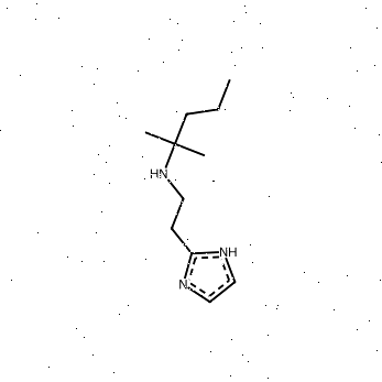 CCCC(C)(C)NCCc1ncc[nH]1